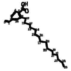 C=Cc1ccc(C(=O)O)c(CCCCCCCCCCCCCCCC)c1